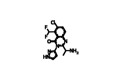 CC(N)c1nc2ccc(Cl)c(C(F)F)c2c(=O)n1-c1cc[nH]n1